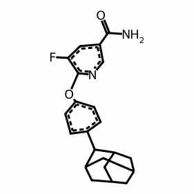 NC(=O)c1cnc(Oc2ccc(C3C4CC5CC(C4)CC3C5)cc2)c(F)c1